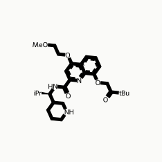 COCCOc1cc(C(=O)N[C@H](C(C)C)C2CCCNC2)nc2c(OCC(=O)C(C)(C)C)cccc12